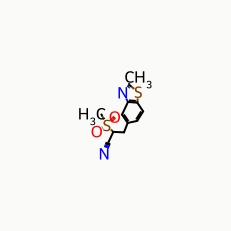 Cc1nc2cc(CC(C#N)S(C)(=O)=O)ccc2s1